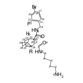 NCCCCCNC(=O)[C@H]1[C@H](C(=O)NCc2ccc(Br)cc2F)[C@@H]2CC[C@H]1C21CC1